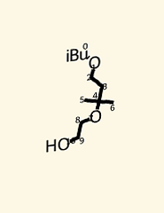 CCC(C)OCCC(C)(C)OCCO